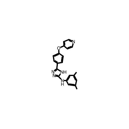 Cc1cc(C)cc(Nc2nnc(-c3ccc(Oc4ccncc4)cc3)[nH]2)c1